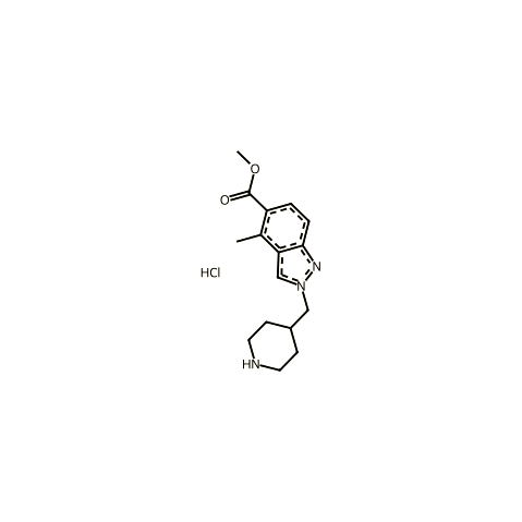 COC(=O)c1ccc2nn(CC3CCNCC3)cc2c1C.Cl